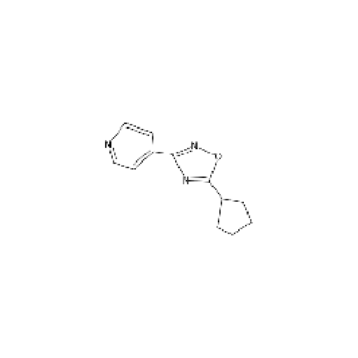 c1cc(-c2noc(C3CCCC3)n2)ccn1